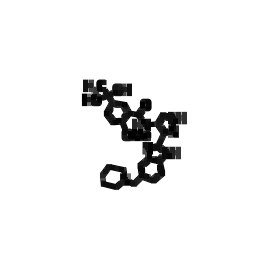 COc1ccc(C(C)(O)O)cc1C(=O)Nc1c[nH]nc1-c1nc2cc(CN3CCCCC3)ccc2[nH]1